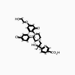 C[C@@](O)(CN1CCN(c2ccc(OCCO)cc2Cl)[C@H](c2ccc(Cl)cc2)C1)c1ccc(C(=O)O)cn1